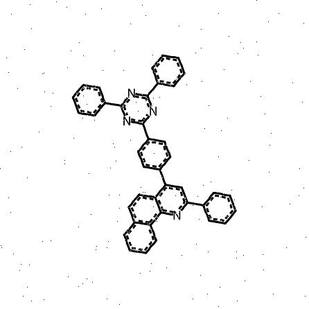 c1ccc(-c2cc(-c3ccc(-c4nc(-c5ccccc5)nc(-c5ccccc5)n4)cc3)c3ccc4ccccc4c3n2)cc1